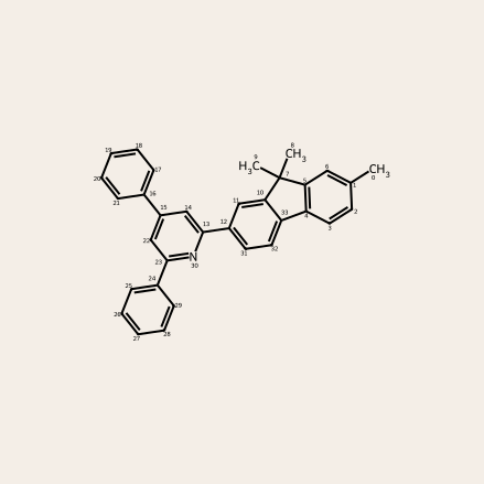 Cc1ccc2c(c1)C(C)(C)c1cc(-c3cc(-c4ccccc4)cc(-c4ccccc4)n3)ccc1-2